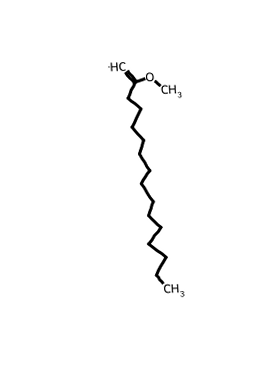 [CH]=C(CCCCCCCCCCCCCC)OC